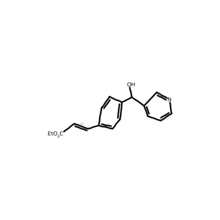 CCOC(=O)/C=C/c1ccc(C(O)c2cccnc2)cc1